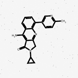 Cc1ccc(-c2cccc3c(N)c4c(nc23)CN(C2CC2)C4=O)cn1